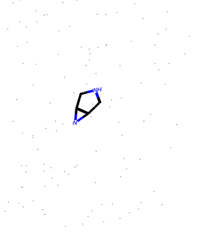 C1NCC2[N]C12